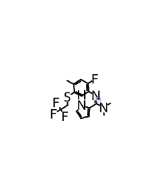 Cc1cc(F)c(/N=C(\c2ccc[nH]2)N(C)C)cc1SCC(F)(F)F